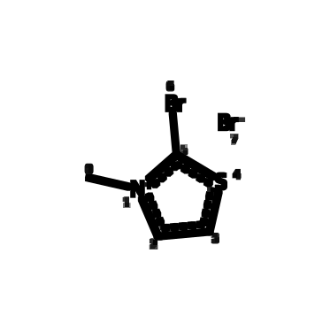 C[n+]1ccsc1Br.[Br-]